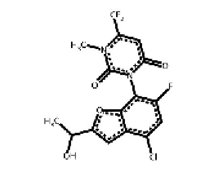 CC(O)c1cc2c(Cl)cc(F)c(-n3c(=O)cc(C(F)(F)F)n(C)c3=O)c2o1